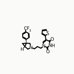 O=c1[nH]c(=O)n(CCCN2C[C@@H]3C[C@]3(c3ccc(C(F)(F)F)cc3)C2)cc1-c1cccs1